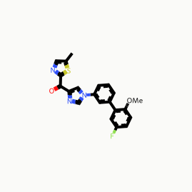 COc1ccc(F)cc1-c1cccc(-n2cnc(C(=O)c3ncc(C)s3)c2)c1